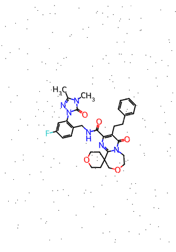 Cc1nn(-c2cc(F)ccc2CNC(=O)c2nc3n(c(=O)c2CCc2ccccc2)CCOCC32CCOCC2)c(=O)n1C